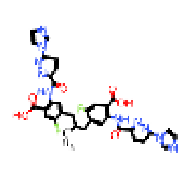 CC(Cc1cc(NC(=O)c2ccc(-n3ccnc3)nn2)c(C(=O)O)cc1F)Cc1cc(NC(=O)c2ccc(-n3ccnc3)nn2)c(C(=O)O)cc1F